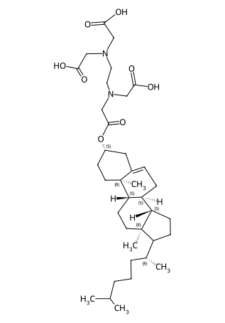 CC(C)CCC[C@@H](C)C1CC[C@H]2[C@@H]3CC=C4C[C@@H](OC(=O)CN(CCN(CC(=O)O)CC(=O)O)CC(=O)O)CC[C@]4(C)[C@H]3CC[C@]12C